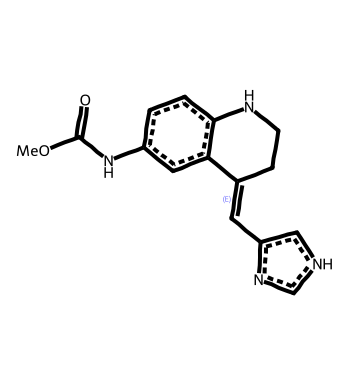 COC(=O)Nc1ccc2c(c1)/C(=C/c1c[nH]cn1)CCN2